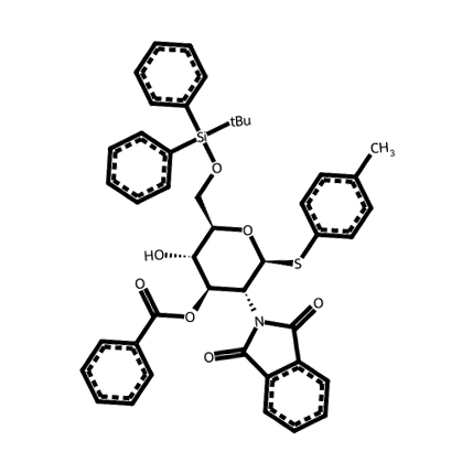 Cc1ccc(S[C@@H]2O[C@H](CO[Si](c3ccccc3)(c3ccccc3)C(C)(C)C)[C@@H](O)[C@H](OC(=O)c3ccccc3)[C@H]2N2C(=O)c3ccccc3C2=O)cc1